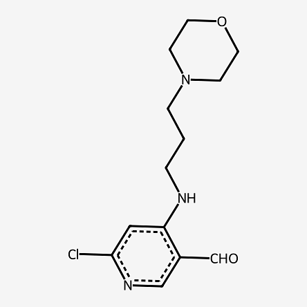 O=Cc1cnc(Cl)cc1NCCCN1CCOCC1